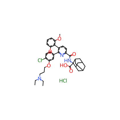 CCN(CC)CCCOc1cc(-c2nc(C(=O)NC3(C(=O)O)C4CC5CC(C4)CC3C5)ccc2-c2c(OC)cccc2OC)ccc1Cl.Cl